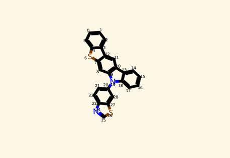 c1ccc2c(c1)sc1cc3c(cc12)c1ccccc1n3-c1ccc2ncsc2c1